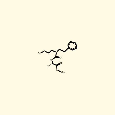 CC[C@H](NC(=O)N(CCSC(C)=O)CCc1ccccc1)C(=O)OC(C)(C)C